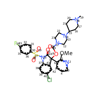 COc1ncccc1C1(OC(=O)N2CCN(C3CCN(C)CC3)CC2)C(=O)N(S(=O)(=O)c2ccc(F)cc2)c2ccc(Cl)cc21